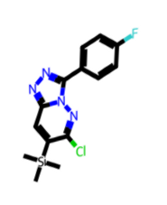 C[Si](C)(C)c1cc2nnc(-c3ccc(F)cc3)n2nc1Cl